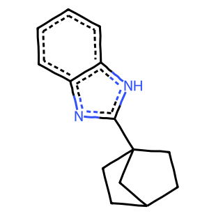 c1ccc2[nH]c(C34CCC(CC3)C4)nc2c1